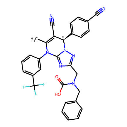 CC1=C(C#N)[C@@H](c2ccc(C#N)cc2)n2nc(CN(Cc3ccccc3)C(=O)O)nc2N1c1cccc(C(F)(F)F)c1